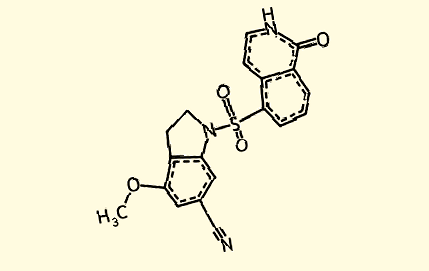 COc1cc(C#N)cc2c1CCN2S(=O)(=O)c1cccc2c(=O)[nH]ccc12